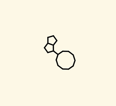 C1CCCCC([C]2CCC3CCCC23)CCCC1